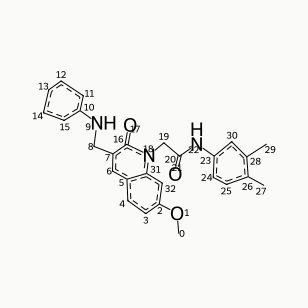 COc1ccc2cc(CNc3ccccc3)c(=O)n(CC(=O)Nc3ccc(C)c(C)c3)c2c1